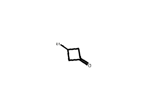 CCC1CC(=O)C1